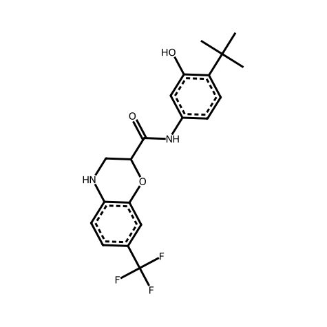 CC(C)(C)c1ccc(NC(=O)C2CNc3ccc(C(F)(F)F)cc3O2)cc1O